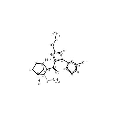 CCOc1nc(C(=O)N2[C@@H]3CC[C@@H](C3)[C@H]2CN)c(-c2cccc(Cl)c2)s1